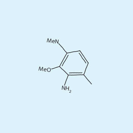 CNc1ccc(C)c(N)c1OC